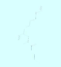 CCCOC(=O)c1cccc(OCCCC[C]=O)c1